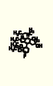 Cc1c(CC(=O)O)c(-c2ccc(F)cc2OC(C)(C)C)c2cc(C)n3c2c1N(C)CC3C